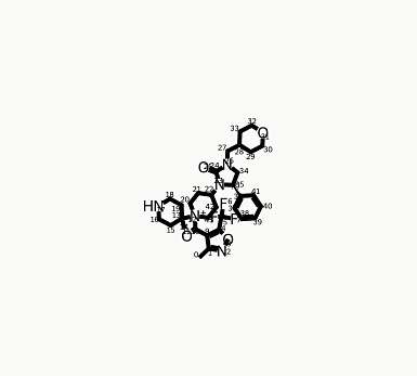 Cc1noc(C(F)(F)F)c1C(=O)[N+]1(C2(C)CCNCC2)CCC(N2C(=O)N(CC3CCOCC3)C[C@H]2c2ccccc2)CC1